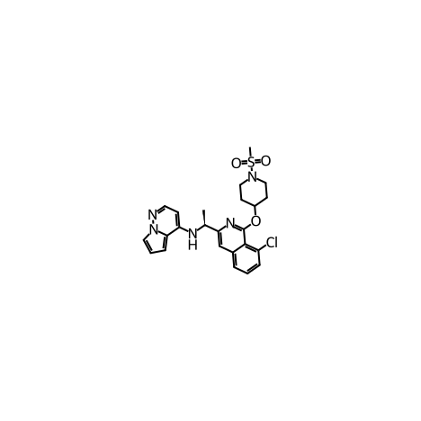 C[C@H](Nc1ccnn2cccc12)c1cc2cccc(Cl)c2c(OC2CCN(S(C)(=O)=O)CC2)n1